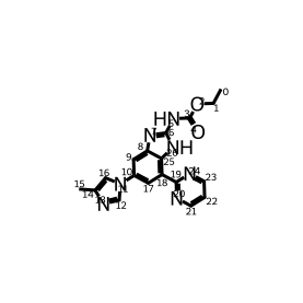 CCOC(=O)Nc1nc2cc(-n3cnc(C)c3)cc(-c3ncccn3)c2[nH]1